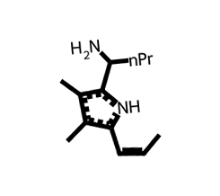 C/C=C\c1[nH]c(C(N)CCC)c(C)c1C